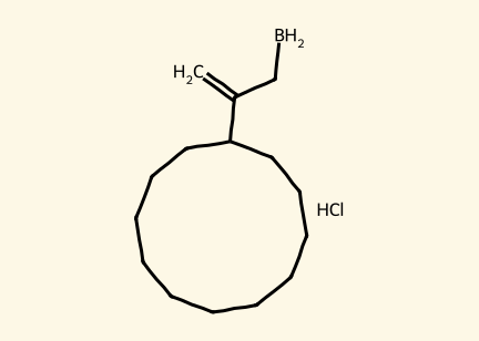 BCC(=C)C1CCCCCCCCCCC1.Cl